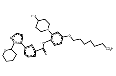 O=C(O)CCCCCCOc1ccc(NC(=O)c2cccc(-c3ccnn3C3CCCCO3)n2)c(N2CCC(O)CC2)c1